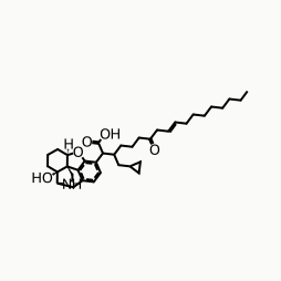 CCCCCCCC/C=C/CC(=O)CCCC(CC1CC1)C(C(=O)O)c1ccc2c3c1O[C@@H]1CCC[C@@]4(O)C(C2)NCC[C@]314